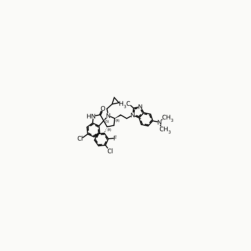 Cc1nc2cc(N(C)C)ccc2n1CC[C@H]1C[C@H](c2cccc(Cl)c2F)[C@]2(C(=O)Nc3cc(Cl)ccc32)N1CC1CC1